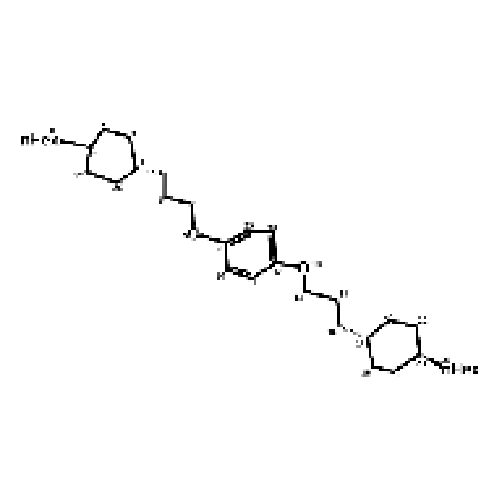 CCCCCC[C@H]1CC[C@H](CCCOc2ccc(OCCC[C@H]3CC[C@H](CCCCCC)CC3)cc2)CC1